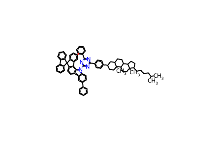 CC(C)CCCCC1CCC2C3CCC4CC(c5ccc(-c6nc(-c7ccccc7)nc(-n7c8ccc(-c9ccccc9)cc8c8ccc9c(c87)-c7ccccc7C97c8ccccc8-c8ccccc87)n6)cc5)CCC4(C)C3CCC12C